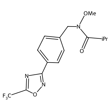 CON(Cc1ccc(-c2noc(C(F)(F)F)n2)cc1)C(=O)C(C)C